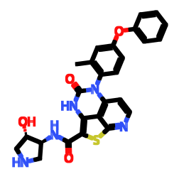 Cc1cc(Oc2ccccc2)ccc1N1C(=O)Nc2c(C(=O)N[C@H]3CNC[C@@H]3O)sc3nccc1c23